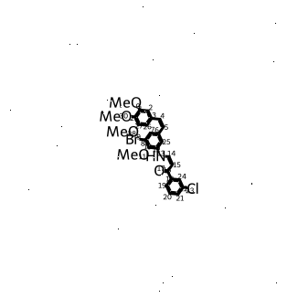 COc1cc(/C=C\c2cc(Br)c(OC)c(N/C=C\C(=O)c3cccc(Cl)c3)c2)cc(OC)c1OC